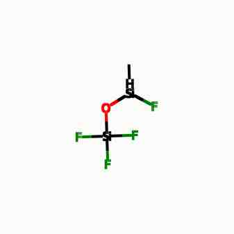 C[SiH](F)O[Si](F)(F)F